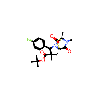 CN1C(=O)[C@@]23C[C@](C)(C(=O)OC(C)(C)C)C(c4ccc(F)cc4)N2C(=O)[C@]1(C)SS3